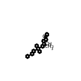 CC1(C)c2ccc(-c3c4ccccc4c(-c4ccc5cc(-c6ccccc6)ccc5c4)c4ccccc34)cc2-c2ccc3c(ccc4c5ccccc5oc34)c21